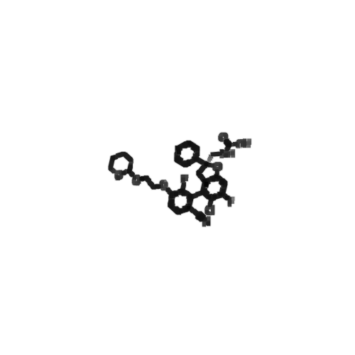 N#Cc1ccc(OCCOC2CCCCO2)c(F)c1-c1c(Cl)c(F)cc2c1C[C@@](CNC(=O)O)(c1ccccc1)O2